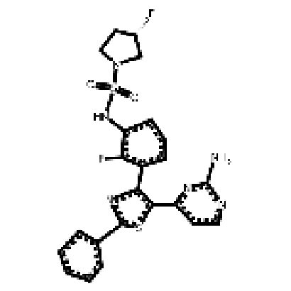 Nc1nccc(-c2sc(-c3ccccc3)nc2-c2cccc(NS(=O)(=O)N3CC[C@H](F)C3)c2F)n1